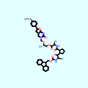 CCCCCc1ccc(-c2cc3cn(CO[C@@H](CC)COC(=O)C(NC(=O)C4CCCC4C(=O)C(NC(=O)OCC4c5ccccc5-c5ccccc54)C(C)C)C(C)C)c(=O)nc3o2)cc1